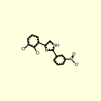 O=[N+]([O-])c1cccc(-c2nc(-c3cccc(Cl)c3Cl)c[nH]2)c1